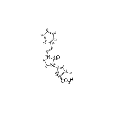 Cc1cc(N2CCN(C=Cc3ccccc3)C2=O)sc1C(=O)O